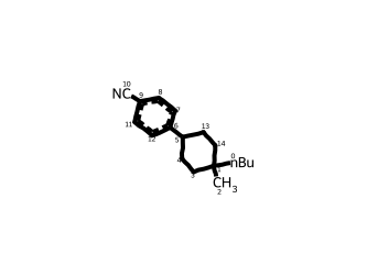 CCCCC1(C)CCC(c2ccc(C#N)cc2)CC1